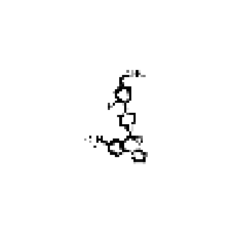 O=CCc1ccc(N2CCN(C(=O)c3cc([N+](=O)[O-])ccc3N3CCCC3)CC2)c(F)c1